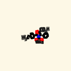 Cc1ccc([C@H]2OC(C(=O)O)[C@H](c3ccccc3)N2C(=O)OC(C)(C)C)cc1